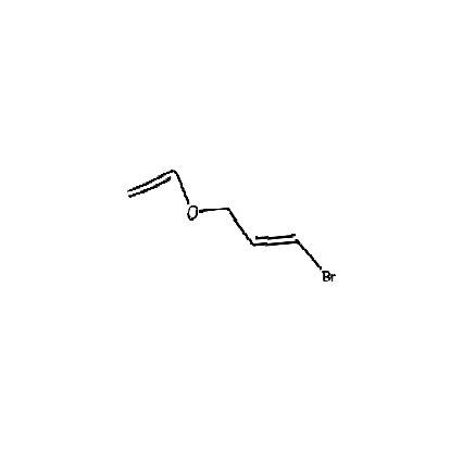 C=COCC=CBr